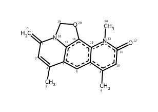 C=C1C=C(C)c2cc3c(C)cc(=O)n(C)c3c3c2N1CO3